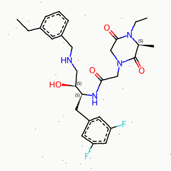 CCc1cccc(CNC[C@H](O)[C@H](Cc2cc(F)cc(F)c2)NC(=O)CN2CC(=O)N(CC)[C@@H](C)C2=O)c1